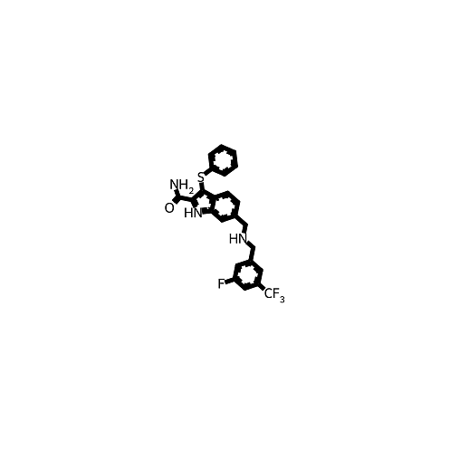 NC(=O)c1[nH]c2cc(CNCc3cc(F)cc(C(F)(F)F)c3)ccc2c1Sc1ccccc1